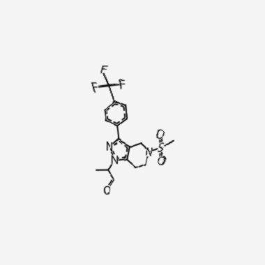 CC(C=O)n1nc(-c2ccc(C(F)(F)F)cc2)c2c1CCN(S(C)(=O)=O)C2